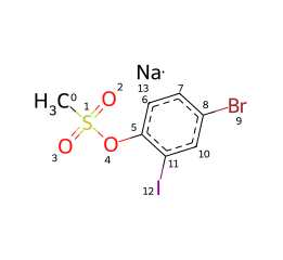 CS(=O)(=O)Oc1ccc(Br)cc1I.[Na]